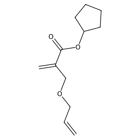 C=CCOCC(=C)C(=O)OC1CCCC1